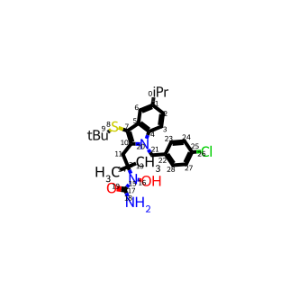 CC(C)c1ccc2c(c1)c(SC(C)(C)C)c(CC(C)(C)N(O)C(N)=O)n2Cc1ccc(Cl)cc1